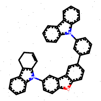 C1=Cc2c(c3ccccc3n2-c2ccc3oc4ccc(-c5cccc(-n6c7ccccc7c7ccccc76)c5)cc4c3c2)CC1